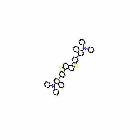 c1ccc(N(c2ccccc2)c2ccc(-c3ccc4c(c3)sc3ccc5c(ccc6sc7cc(-c8ccc(N(c9ccccc9)c9ccccc9)c9ccccc89)ccc7c65)c34)c3ccccc23)cc1